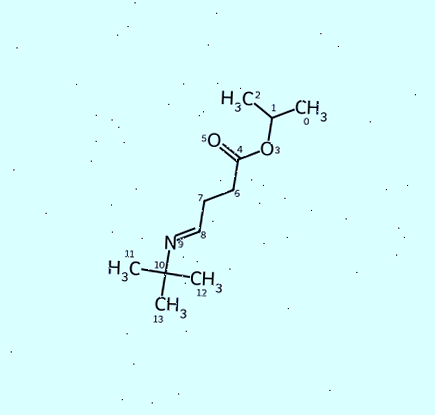 CC(C)OC(=O)CCC=NC(C)(C)C